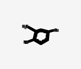 CCCCc1ccc(C#N)c(C)c1